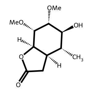 CO[C@@H]1[C@H](OC)[C@@H](O)[C@H](C)[C@H]2CC(=O)O[C@H]21